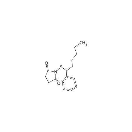 CCCCCC(SN1C(=O)CCC1=O)c1ccccc1